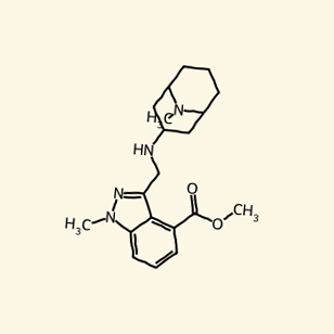 COC(=O)c1cccc2c1c(CNC1CC3CCCC(C1)N3C)nn2C